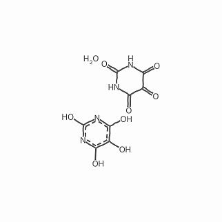 O.O=C1NC(=O)C(=O)C(=O)N1.Oc1nc(O)c(O)c(O)n1